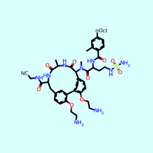 CCCCCCCCc1ccc(C(=O)NC(CCNS(N)(=O)=O)C(=O)N(C)C2C(=O)NC(C)C(=O)NC(C(=O)NCC#N)Cc3ccc(OCCN)c(c3)-c3cc2ccc3OCCN)c(C)c1